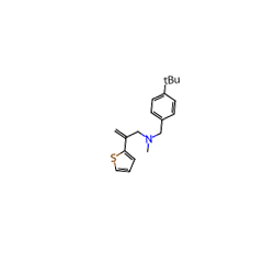 C=C(CN(C)Cc1ccc(C(C)(C)C)cc1)c1cccs1